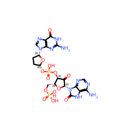 Nc1nc2c(ncn2[C@H]2CC[C@@H](OP(=O)(O)O[C@H]3C(=O)[C@H](n4c(=O)[nH]c5c(N)ncnc54)O[C@@H]3COP(=O)(O)O)O2)c(=O)[nH]1